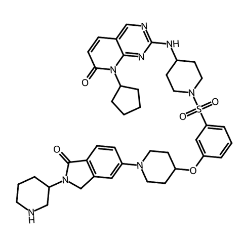 O=C1c2ccc(N3CCC(Oc4cccc(S(=O)(=O)N5CCC(Nc6ncc7ccc(=O)n(C8CCCC8)c7n6)CC5)c4)CC3)cc2CN1C1CCCNC1